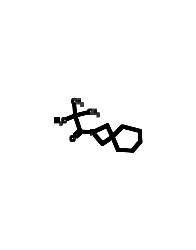 CC(C)(C)C(=O)N1CC2(CCCCC2)C1